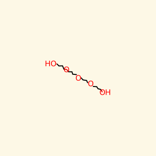 OCCCCOCCCCOCCCCOCCCCO